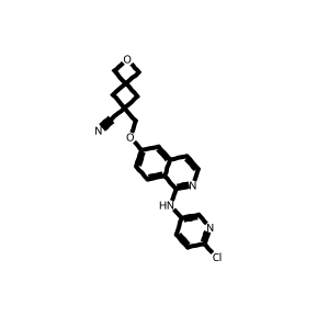 N#CC1(COc2ccc3c(Nc4ccc(Cl)nc4)nccc3c2)CC2(COC2)C1